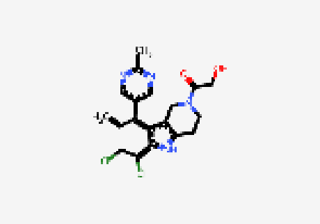 C=C/C(c1cnc(C)nc1)=c1/c2c([nH]/c1=C(\Cl)CCl)CCN(C(=O)CO)C2